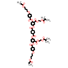 C=CC(=O)OCCCCOc1ccc(C(=O)Oc2ccc(OC(=O)C3CCC(C(=O)Oc4ccc(OC(=O)c5ccc(OCCCCOC(=O)C=C)cc5)c(C(=O)OCCOC(=O)C(=C)C)c4)CC3)cc2C(=O)OCCOC(=O)C(=C)C)cc1